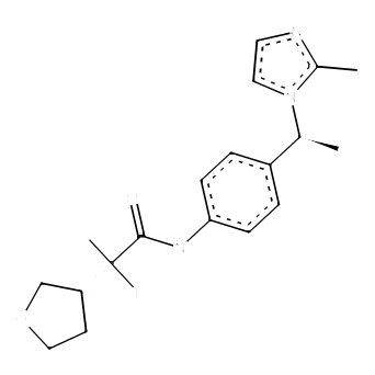 Cc1nccn1[C@@H](C)c1ccc(NC(=O)C(F)(F)[C@@H]2CCOC2)cc1